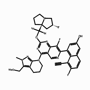 [2H]C([2H])(Oc1nc(N2CCCc3c2nn(C)c3COC)c2cnc(-c3cc(O)cc4ccc(F)c(C#C)c34)c(F)c2n1)[C@@]12CCCN1C[C@H](F)C2